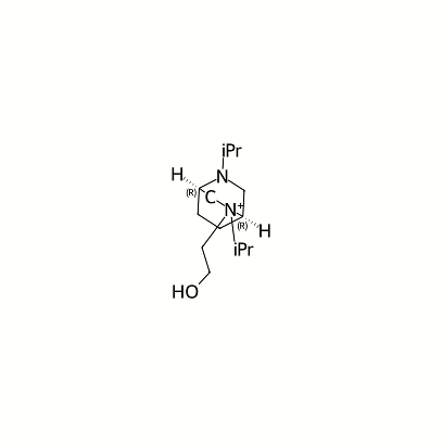 CC(C)N1C[C@H]2CC[C@@H]1C[N+]2(CCO)C(C)C